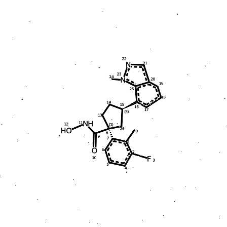 Cc1c(F)cccc1[C@]1(C(=O)NO)CC[C@@H](c2cccc3cnn(C)c23)C1